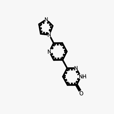 O=c1ccc(-c2ccc(-n3ccnc3)nc2)n[nH]1